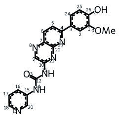 COc1cc(-c2ccc3ncc(NC(=O)Nc4cccnc4)nc3n2)ccc1O